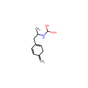 C=C1C=CC(CC(C)NC(O)O)=CC1